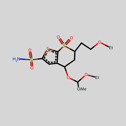 CCOCCC1CC(OC(OC)OCC)c2cc(S(N)(=O)=O)sc2S1(=O)=O